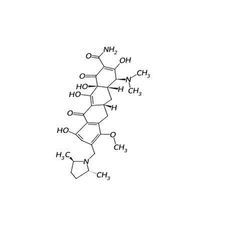 COc1c(CN2[C@H](C)CC[C@H]2C)cc(O)c2c1C[C@H]1C[C@H]3[C@H](N(C)C)C(O)=C(C(N)=O)C(=O)[C@@]3(O)C(O)=C1C2=O